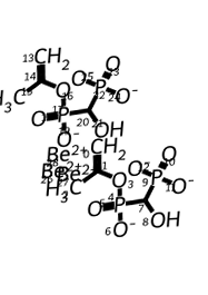 C=C(C)OP(=O)([O-])C(O)P(=O)([O-])[O-].C=C(C)OP(=O)([O-])C(O)P(=O)([O-])[O-].[Be+2].[Be+2].[Be+2]